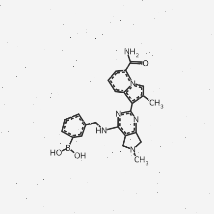 Cc1cn2c(C(N)=O)cccc2c1-c1nc2c(c(NCc3cccc(B(O)O)c3)n1)CN(C)C2